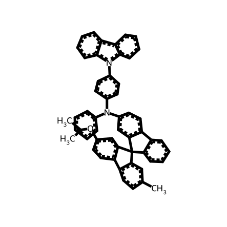 Cc1ccc2c(c1)C1(c3ccccc3-c3ccc(N(c4ccccc4)c4ccc(-n5c6ccccc6c6ccccc65)cc4)cc31)c1cc(OC(C)C)ccc1-2